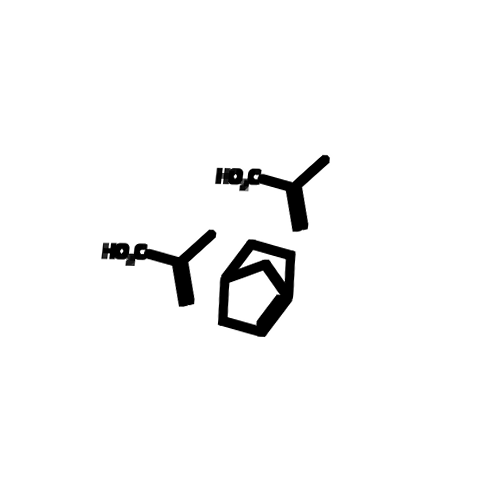 C1=C2CCC(C1)C2.C=C(C)C(=O)O.C=C(C)C(=O)O